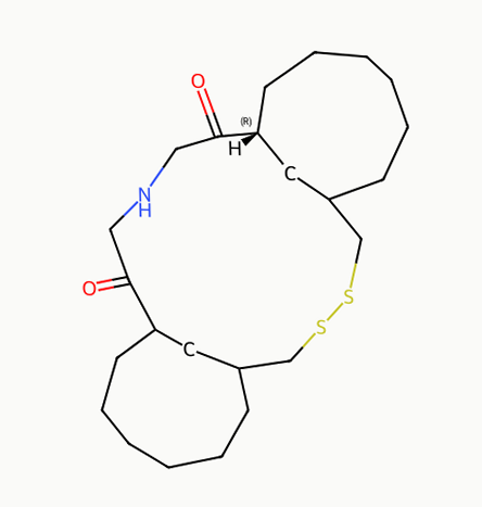 O=C1CNCC(=O)[C@@H]2CCCCCCC(CSSCC3CCCCCCC1C3)C2